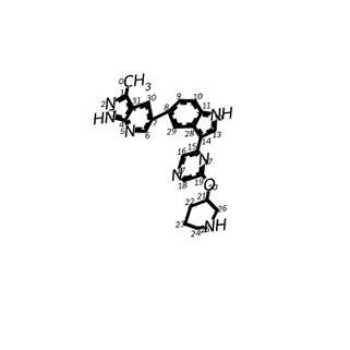 Cc1n[nH]c2ncc(-c3ccc4[nH]cc(-c5cncc(OC6CCCNC6)n5)c4c3)cc12